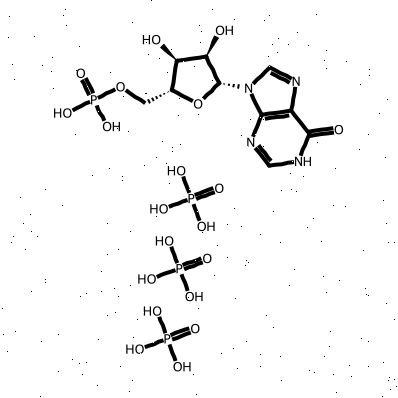 O=P(O)(O)O.O=P(O)(O)O.O=P(O)(O)O.O=c1[nH]cnc2c1ncn2[C@@H]1O[C@H](COP(=O)(O)O)[C@@H](O)[C@H]1O